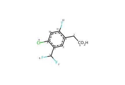 O=C(O)Cc1cc(C(F)F)c(Cl)cc1F